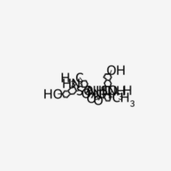 Cc1ccc(C(=O)NC(=O)NC(=O)c2ccc(C)c(Nc3cc4cc(O)ccc4cc3S(=O)(=O)O)c2)cc1Nc1cc2cc(O)ccc2cc1S(=O)(=O)O